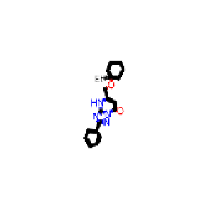 CCC1(OCc2cc(=O)n3nc(-c4ccccc4)nc3[nH]2)CCCCC1